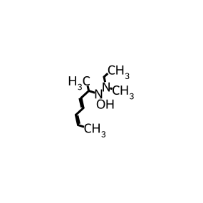 C/C=C\C=CC(C)N(O)N(C)CC